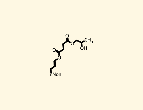 CCCCCCCCCCC=COC(=O)CCC(=O)OCC(C)O